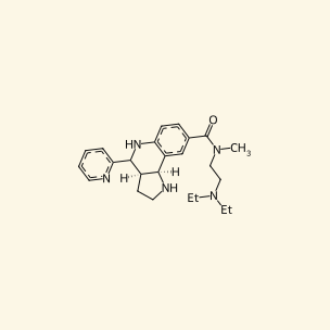 CCN(CC)CCN(C)C(=O)c1ccc2c(c1)[C@H]1NCC[C@H]1C(c1ccccn1)N2